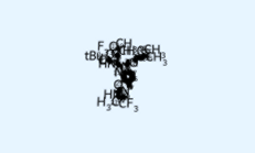 CC(C)(C)OC(=O)N[C@@H](COC(C)(C)C(F)(F)F)c1nc2cc(CN3CC(C)(C(F)(F)F)NC3=O)ccc2n1COCC[Si](C)(C)C